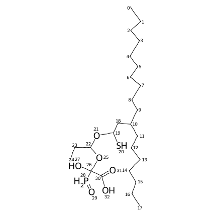 CCCCCCCCCCC(CCCCCCC)CC(S)OC(CC)OC(O)([PH2]=O)C(=O)O